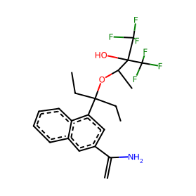 C=C(N)c1cc(C(CC)(CC)OC(C)C(O)(C(F)(F)F)C(F)(F)F)c2ccccc2c1